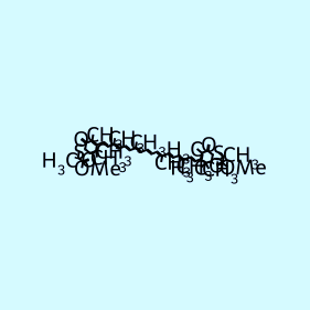 COC(=O)C(C)SC1CC(C)(C)C(/C=C/C(C)=C/C=C/C(C)=C/C=C/C=C(C)/C=C/C=C(C)/C=C/C2=C(C)C(=O)C(SC(C)C(=O)OC)CC2(C)C)=C(C)C1=O